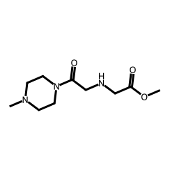 COC(=O)CNCC(=O)N1CCN(C)CC1